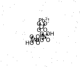 O=S(=O)(O)O.[O]=[Cr](=[O])([O-])[O-].[O]=[Mo](=[O])([OH])[OH].[Pb+2]